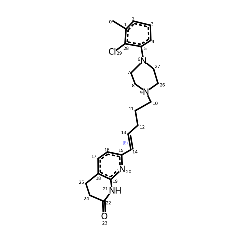 Cc1cccc(N2CCN(CCC/C=C/c3ccc4c(n3)NC(=O)CC4)CC2)c1Cl